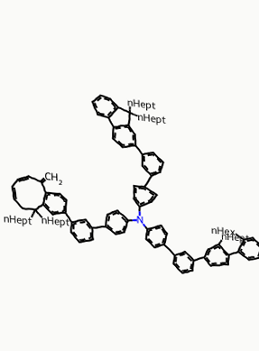 C=C1/C=C\C=C/CC(CCCCCCC)(CCCCCCC)c2cc(-c3cccc(-c4ccc(N(c5ccc(-c6cccc(-c7ccc(-c8ccccc8CCCCCC)c(CCCCCCC)c7)c6)cc5)c5ccc(-c6cccc(-c7ccc8c(c7)C(CCCCCCC)(CCCCCCC)c7ccccc7-8)c6)cc5)cc4)c3)ccc21